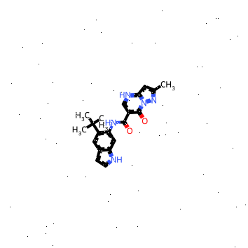 Cc1cc2[nH]cc(C(=O)Nc3cc4[nH]ccc4cc3C(C)(C)C)c(=O)n2n1